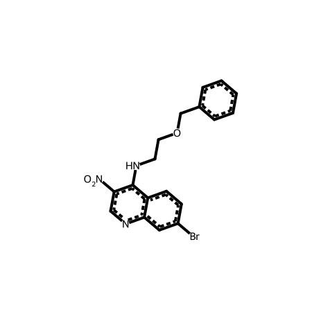 O=[N+]([O-])c1cnc2cc(Br)ccc2c1NCCOCc1ccccc1